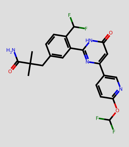 CC(C)(Cc1ccc(C(F)F)c(-c2nc(-c3ccc(OC(F)F)nc3)cc(=O)[nH]2)c1)C(N)=O